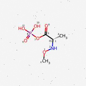 CON[C@@H](C)C(=O)OP(=O)(O)O